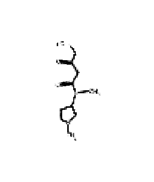 CCCCCCCCCC(=O)CC(=O)N(C)C1CCN(C)C1